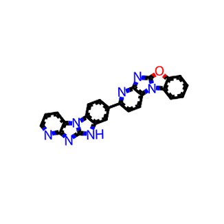 c1ccc2c(c1)oc1nc3nc(-c4ccc5c(c4)[nH]c4nc6ncccc6n45)ccc3n12